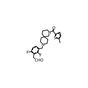 Cc1ccc(C(=O)N2CCCC3(CCN(Cc4ccc(F)c(CC=O)c4F)CC3)C2)s1